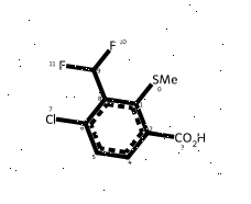 CSc1c(C(=O)O)ccc(Cl)c1C(F)F